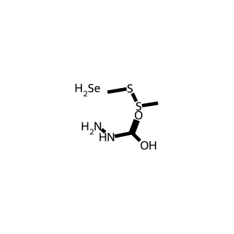 CSSC.NNC(=O)O.[SeH2]